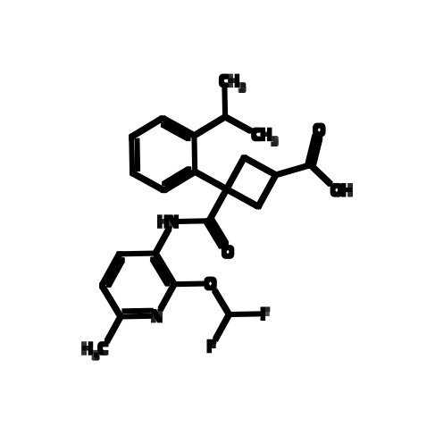 Cc1ccc(NC(=O)C2(c3ccccc3C(C)C)CC(C(=O)O)C2)c(OC(F)F)n1